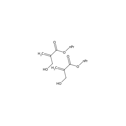 C=C(CO)C(=O)OCCC.C=C(CO)C(=O)OCCC